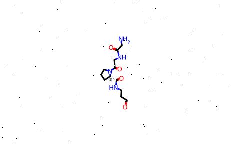 NCC(=O)NCC(=O)N1CCC[C@H]1C(=O)NCCC=O